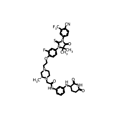 C[C@@H]1CN(CCOc2ccc(N3C(=S)N(c4ccc(C#N)c(C(F)(F)F)c4)C(=O)C3(C)C)cc2F)CCN1CC(=O)Nc1cccc(NC2CCC(=O)NC2=O)c1